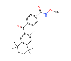 CCCCONC(=O)c1ccc(C(=O)c2cc3c(cc2C)C(C)(C)CCC3(C)C)cc1